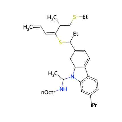 C=C/C=C(/SC(CC)C1=CC=C2c3ccc(C(C)C)cc3N(C(C)NCCCCCCCC)C2C1)[C@H](C)CSCC